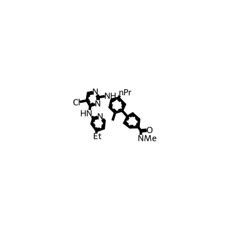 CCCc1cc(-c2ccc(C(=O)NC)cc2)c(C)cc1Nc1ncc(Cl)c(Nc2cc(CC)ccn2)n1